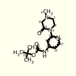 CN1CCN(c2cc(NC(=O)OC(C)(C)C)ccn2)C(=O)C1